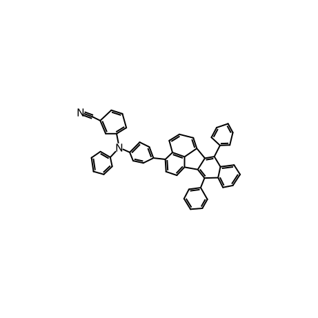 N#Cc1cccc(N(c2ccccc2)c2ccc(-c3ccc4c5c(cccc35)-c3c-4c(-c4ccccc4)c4ccccc4c3-c3ccccc3)cc2)c1